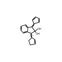 OC1(O)C(=C2C=CC=C2)c2ccccc2/C1=C1/C=CCC1